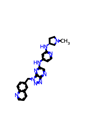 CN1CC[C@H](Nc2cc(Nc3cnc4nnn(Cc5ccc6ncccc6c5)c4n3)ccn2)C1